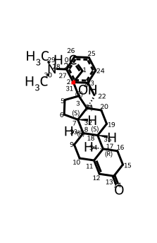 C=CC[C@]1(O)CC[C@H]2[C@@H]3CCC4=CC(=O)CC[C@@H]4[C@H]3CC[C@@]21Cc1cccc(N(C)C)c1